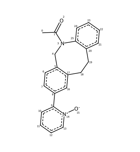 CC(=O)N1Cc2ccc(-c3cccc[n+]3[O-])cc2CCc2ccccc21